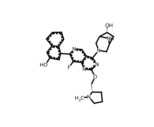 CN1CCC[C@H]1COc1nc(N2CC3C[C@@H](O)C(C2)N3)c2cnc(-c3cc(O)cc4ccccc34)c(F)c2n1